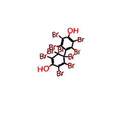 OC1=C(Br)C(Br)(Br)C(Br)(c2c(Br)c(Br)c(O)c(Br)c2Br)C(Br)=C1Br